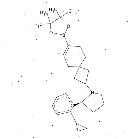 CC1(C)OB(C2=CCC3(CC2)CC(N2CCC[C@H]2c2ccccc2C2CC2)C3)OC1(C)C